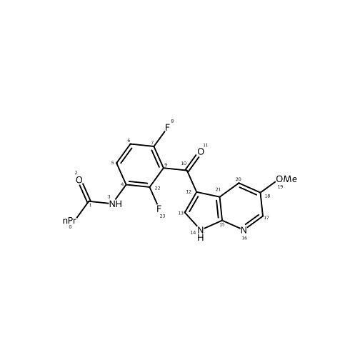 CCCC(=O)Nc1ccc(F)c(C(=O)c2c[nH]c3ncc(OC)cc23)c1F